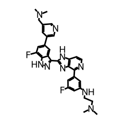 CN(C)CCNc1cc(F)cc(-c2nccc3[nH]c(-c4n[nH]c5c(F)cc(-c6cncc(CN(C)C)c6)cc45)nc23)c1